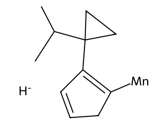 CC(C)C1(C2=[C]([Mn])CC=C2)CC1.[H-]